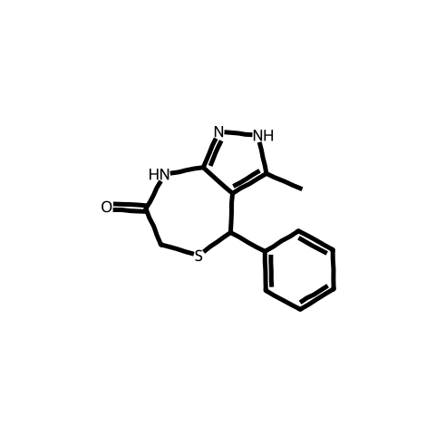 Cc1[nH]nc2c1C(c1ccccc1)SCC(=O)N2